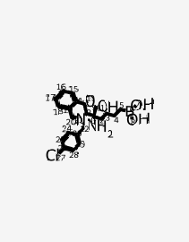 NC(CCCCB(O)O)(C(=O)O)C1Cc2ccccc2CN1Cc1ccc(Cl)cc1